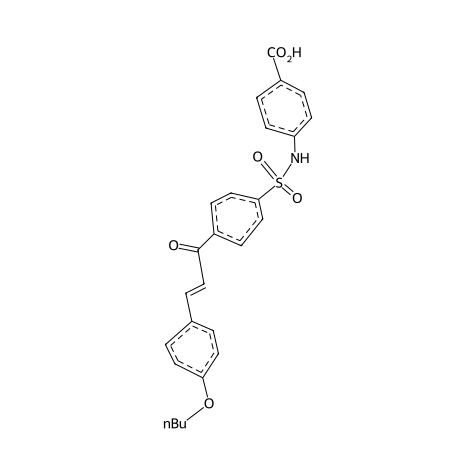 CCCCOc1ccc(C=CC(=O)c2ccc(S(=O)(=O)Nc3ccc(C(=O)O)cc3)cc2)cc1